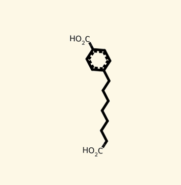 O=C(O)CCCCCCCc1ccc(C(=O)O)cc1